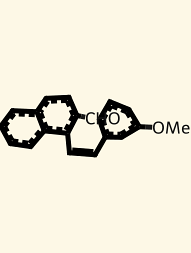 COc1cccc(/C=C\c2c(C=O)ccc3ccccc23)c1